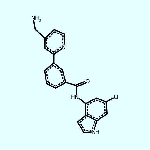 NCc1ccnc(-c2cccc(C(=O)Nc3cc(Cl)cc4[nH]ccc34)c2)c1